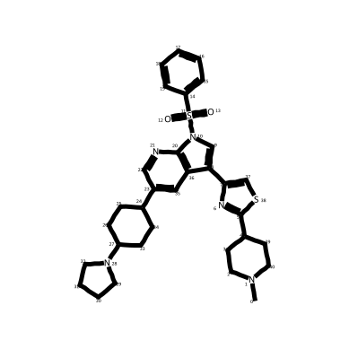 CN1CCC(c2nc(-c3cn(S(=O)(=O)c4ccccc4)c4ncc(C5CCC(N6CCCC6)CC5)cc34)cs2)CC1